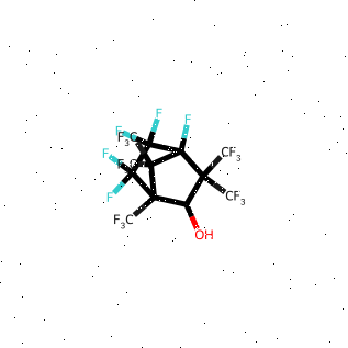 OC1C(C(F)(F)F)(C(F)(F)F)C2(F)C(F)(F)C(F)(F)C1(C(F)(F)F)C2(C(F)(F)F)C(F)(F)F